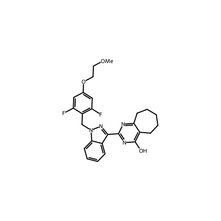 COCCOc1cc(F)c(Cn2nc(-c3nc(O)c4c(n3)CCCCC4)c3ccccc32)c(F)c1